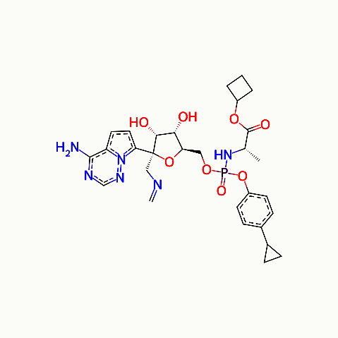 C=NC[C@@]1(c2ccc3c(N)ncnn23)O[C@H](COP(=O)(N[C@@H](C)C(=O)OC2CCC2)Oc2ccc(C3CC3)cc2)[C@@H](O)[C@H]1O